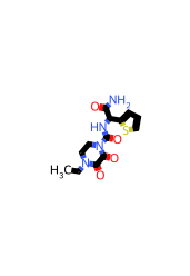 CCN1CCN(C(=O)NC(C(N)=O)c2cccs2)C(=O)C1=O